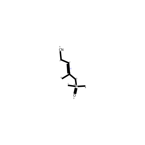 C/C(=C\CC#N)CP(C)(C)=O